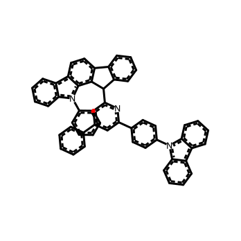 c1ccc(-c2cc(-c3ccc(-n4c5ccccc5c5ccccc54)cc3)nc(C3c4ccccc4-c4ccc5c6ccccc6n(-c6ccccc6)c5c43)c2)cc1